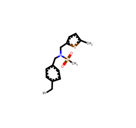 [CH2]c1ccc(CN(Cc2ccc(CC(C)C)cc2)S(C)(=O)=O)s1